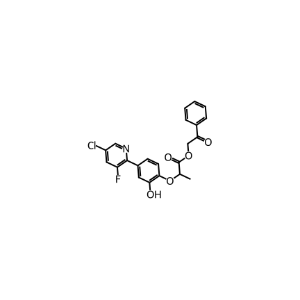 CC(Oc1ccc(-c2ncc(Cl)cc2F)cc1O)C(=O)OCC(=O)c1ccccc1